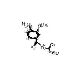 COc1cc(C(=O)OOC(=O)C(C)(C)C)ccc1N